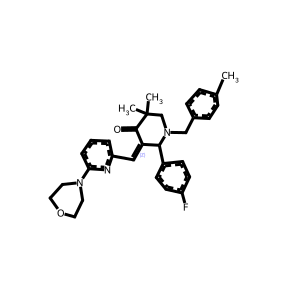 Cc1ccc(CN2CC(C)(C)C(=O)/C(=C\c3cccc(N4CCOCC4)n3)C2c2ccc(F)cc2)cc1